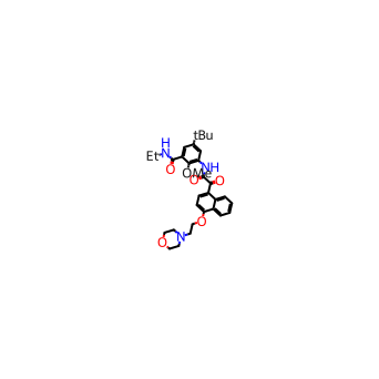 CCNC(=O)c1cc(C(C)(C)C)cc(NC(=O)C(=O)c2ccc(OCCN3CCOCC3)c3ccccc23)c1OC